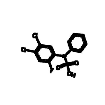 O=S(=O)(O)N(c1ccccc1)c1cc(Cl)c(Cl)cc1F